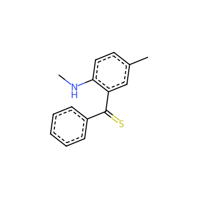 CNc1ccc(C)cc1C(=S)c1ccccc1